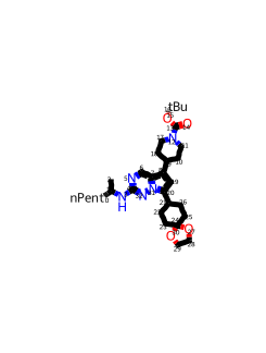 CCCCCC(C)Nc1ncc2c(C3CCN(C(=O)OC(C)(C)C)CC3)cc(C3CCC4(CC3)OCCO4)n2n1